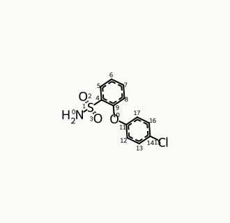 NS(=O)(=O)c1ccccc1Oc1ccc(Cl)cc1